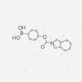 O=C(Oc1ccc(B(O)O)cc1)n1cc2ccccc2c1